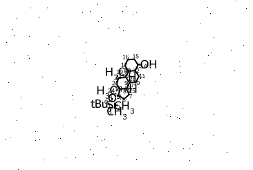 CC(C)(C)[Si](C)(C)O[C@H]1CC[C@H]2[C@@H]3CCC4C(O)CCC[C@]4(C)C3CC[C@]12C